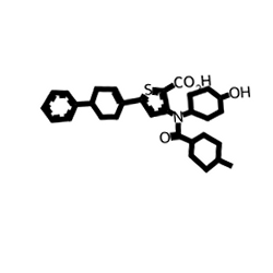 CC1CCC(C(=O)N(c2cc(C3=CCC(c4ccccc4)CC3)sc2C(=O)O)C2CCC(O)CC2)CC1